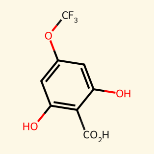 O=C(O)c1c(O)cc(OC(F)(F)F)cc1O